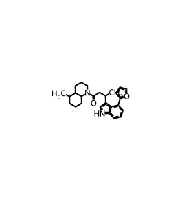 CC(CC(=O)N1CCCC2C(C)CCCC21)c1c[nH]c2cccc(-c3ccco3)c12